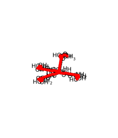 COP(=O)(O)OC[C@@H]1C[C@@H](O)CN1C(=O)CCCCCCCCCCC(=O)NC(COCCC(=O)NCCCNC(=O)CCCCOC1OC(CO)C(O)C(O)C1N)(COCCC(=O)NCCCNC(=O)CCCCOC1OC(CO)C(O)C(O)C1N)COCCC(=O)NCCCNC(=O)CCCCOC1OC(CO)C(O)C(O)C1N